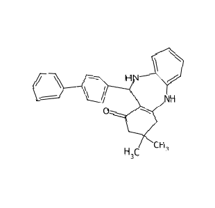 CC1(C)CC(=O)C2=C(C1)Nc1ccccc1NC2c1ccc(-c2ccccc2)cc1